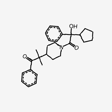 CC(C)(C(=O)c1ccccc1)C1CCN(C(=O)C(O)(c2ccccc2)C2CCCC2)CC1